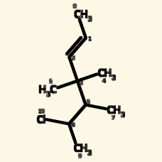 CC=CC(C)(C)C(C)C(C)Cl